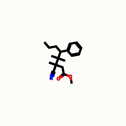 CCCC(c1ccccc1)C(C)(C)C(C)(C#N)CC(=O)OC